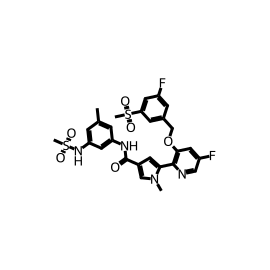 Cc1cc(NC(=O)c2cc(-c3ncc(F)cc3OCc3cc(F)cc(S(C)(=O)=O)c3)n(C)c2)cc(NS(C)(=O)=O)c1